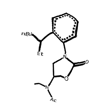 CCCCC(CC)c1ccccc1N1CC(N(C)C(C)=O)OC1=O